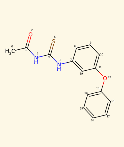 CC(=O)NC(=S)Nc1cccc(Oc2ccccc2)c1